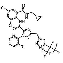 O=C(NCC1CC1)c1cc(Cl)cc(Cl)c1NC(=O)c1cc(Cn2cc(C(F)(C(F)(F)F)C(F)(F)F)nn2)nn1-c1ncccc1Cl